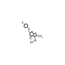 CCC1CC1c1c(C)sc2nc(COc3ccc(F)cc3)cc(=O)n12